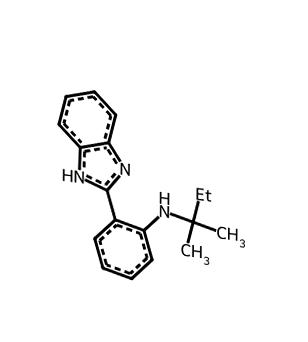 CCC(C)(C)Nc1ccccc1-c1nc2ccccc2[nH]1